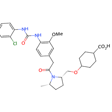 COc1cc(CC(=O)N2[C@H](COC3CCC(C(=O)O)CC3)CC[C@@H]2C)ccc1NC(=O)Nc1ccccc1Cl